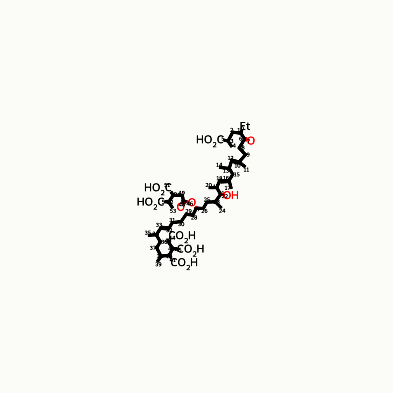 CCC(CC(C)C(=O)O)C(=O)CCC(C)=CC(C)CC(C)=CC(C)C(O)C(C)CCC(CCCCC=CC(C)CCC(C)C(C(=O)O)C(CC(=O)O)C(=O)O)OC(=O)CC(C(=O)O)C(C)C(=O)O